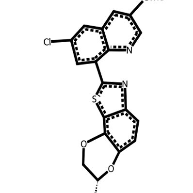 [CH2][C@@H]1COc2c(ccc3nc(-c4cc(Cl)cc5cc(OC)cnc45)sc23)O1